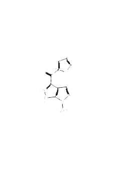 CCCn1ccc2c(C(=O)c3cccs3)n[nH]c21